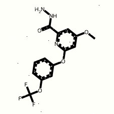 COc1cc(Oc2cccc(OC(F)(F)F)c2)nc(C(=O)NN)c1